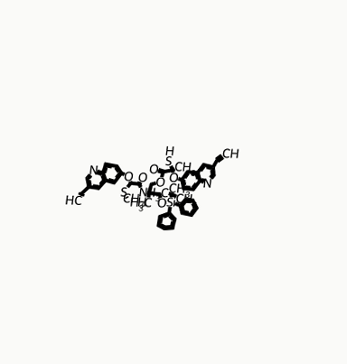 C#Cc1cnc2ccc(OC(SC)C(=O)NC(C)(COC(=O)C(C)(S)Oc3ccc4ncc(C#C)cc4c3)CO[Si](c3ccccc3)(c3ccccc3)C(C)(C)C)cc2c1